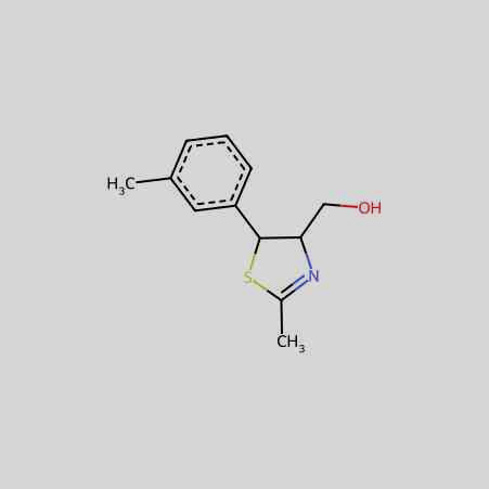 CC1=NC(CO)C(c2cccc(C)c2)S1